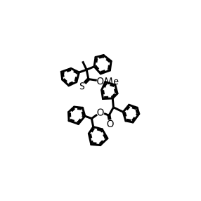 COC(=S)C(C)(c1ccccc1)c1ccccc1.O=C(OC(c1ccccc1)c1ccccc1)C(c1ccccc1)c1ccccc1